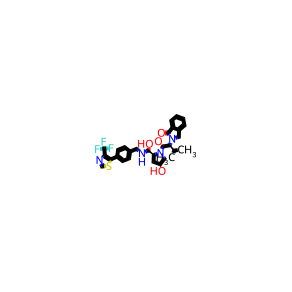 CC(C)[C@@H](C(=O)N1C[C@H](O)C[C@H]1C(O)NCc1ccc(-c2scnc2C(F)(F)F)cc1)N1Cc2ccccc2C1=O